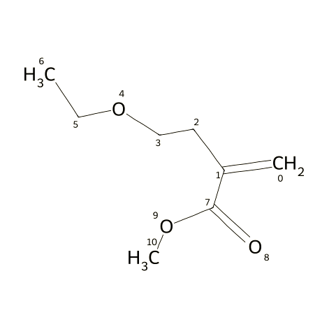 C=C(CCOCC)C(=O)OC